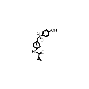 O=C(NC12CCC(CS(=O)(=O)c3ccc(O)cc3)(CC1)CC2)C1CC1